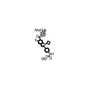 COS(=O)(=O)ONC(=O)c1cc2c(cc1F)cc(-c1ccc(NC(=O)OC(C)(C)C)cc1)n2C1CCC1